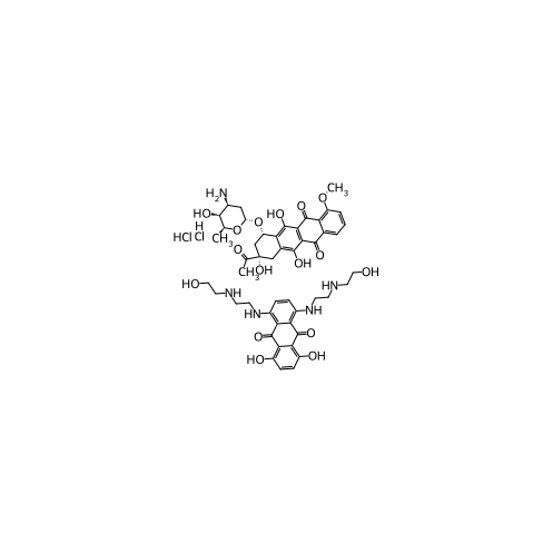 COc1cccc2c1C(=O)c1c(O)c3c(c(O)c1C2=O)C[C@@](O)(C(C)=O)C[C@@H]3O[C@H]1C[C@H](N)[C@H](O)[C@H](C)O1.Cl.Cl.O=C1c2c(O)ccc(O)c2C(=O)c2c(NCCNCCO)ccc(NCCNCCO)c21